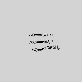 O=S(=O)(O)O.O=S(=O)(O)O.O=S(=O)(O)O.[MgH2]